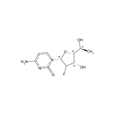 C[C@H](O)[C@H]1O[C@@H](n2ccc(N)nc2=O)C(F)[C@H]1O